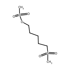 CS(=O)(=O)CCCCCOS(C)(=O)=O